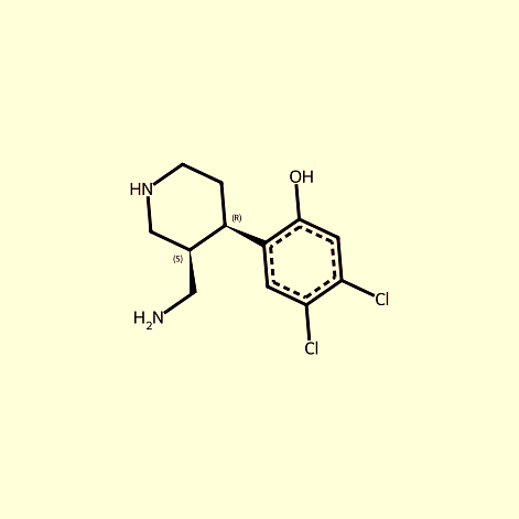 NC[C@H]1CNCC[C@H]1c1cc(Cl)c(Cl)cc1O